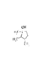 CC1CCC(C)(O)C1C